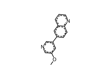 COc1cncc(-c2ccc3ncccc3c2)c1